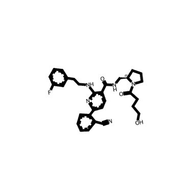 N#Cc1ccccc1-c1ccc(C(=O)NC[C@H]2CCCN2C(=O)CCCO)c(NCCc2cccc(F)c2)n1